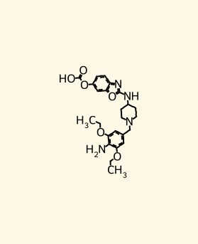 CCOc1cc(CN2CCC(Nc3nc4ccc(OC(=O)O)cc4o3)CC2)cc(OCC)c1N